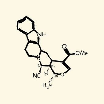 COC(=O)C1=CO[C@H](C)[C@@H]2C1CC1c3[nH]c4ccccc4c3CCN1[C@@H]2C#N